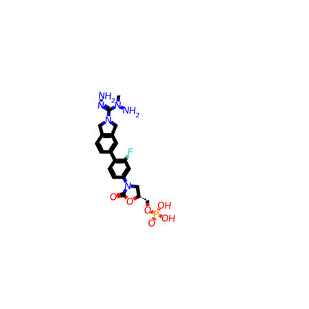 CN(N)/C(=N\N)N1Cc2ccc(-c3ccc(N4C[C@H](COP(=O)(O)O)OC4=O)cc3F)cc2C1